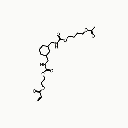 C=CC(=O)OCCOC(=O)NCC1CCCC(CNC(=O)OCCCCOC(C)=O)C1